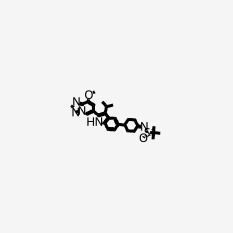 COc1cc(-c2[nH]c3ccc(C4CCC(=N[S+]([O-])C(C)(C)C)CC4)cc3c2C(C)C)cn2ncnc12